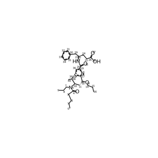 CCCCC(=O)N(CCC)C(C[C@@H](OCCC)c1nc(C(=O)N[C@H](CCC(=O)O)Cc2ccccc2)cs1)C(C)C